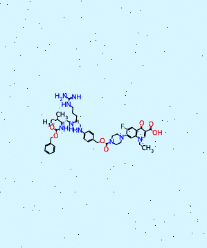 CCn1cc(C(=O)O)c(=O)c2cc(F)c(N3CCN(C(=O)OCc4ccc(NC[C@@H](CCCNC(=N)N)NC[C@H](NC(=O)OCc5ccccc5)C(C)C)cc4)CC3)cc21